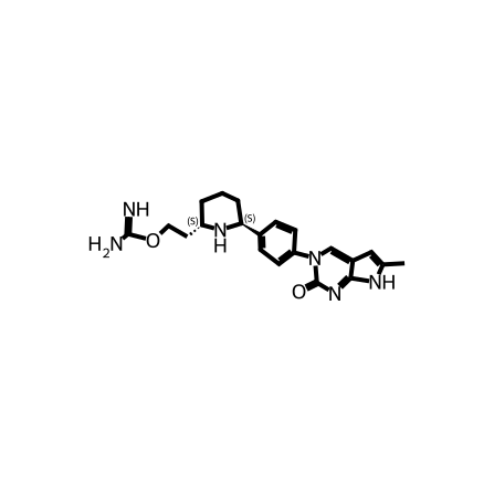 Cc1cc2cn(-c3ccc([C@@H]4CCC[C@@H](CCOC(=N)N)N4)cc3)c(=O)nc2[nH]1